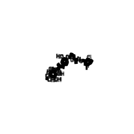 C/C(=C\c1ccc(O[C@H]2CC[C@@H](/C(C)=N/OCc3cc(F)ccc3Cl)O2)c(O)c1)C(=O)N[C@@H]1[C@H](O)[C@@H](O)[C@H]2OCO[C@H]2[C@@H]1O